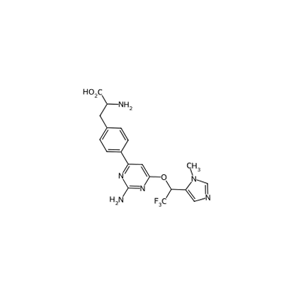 Cn1cncc1C(Oc1cc(-c2ccc(CC(N)C(=O)O)cc2)nc(N)n1)C(F)(F)F